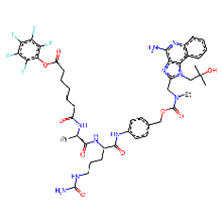 CCN(Cc1nc2c(N)nc3ccccc3c2n1CC(C)(C)O)C(=O)OCc1ccc(NC(=O)C(CCCNC(N)=O)NC(=O)C(NC(=O)CCCCCC(=O)Oc2c(F)c(F)c(F)c(F)c2F)C(C)C)cc1